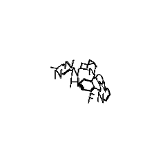 Cc1cnc(NC2CC34CC3CN(C(=O)c3cccc(F)c3-c3ncccn3)C24)cn1